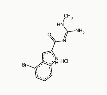 CNC(N)=NC(=O)c1cc2c(Br)cccc2[nH]1.Cl